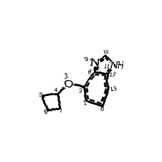 c1cc(OC2CCC2)c2nc[nH]c2c1